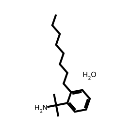 CCCCCCCCc1ccccc1C(C)(C)N.O